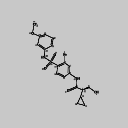 CCc1cc(NC(=O)[C@@H](CO)C2CC2)ccc1S(=O)(=O)Nc1cccc(OC(F)(F)F)c1